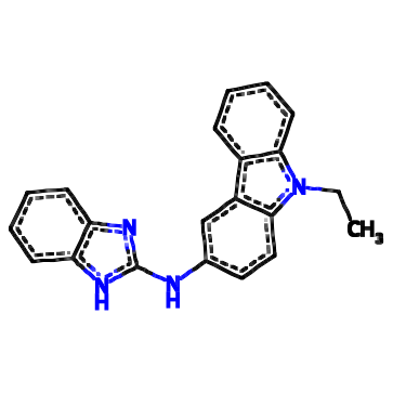 CCn1c2ccccc2c2cc(Nc3nc4ccccc4[nH]3)ccc21